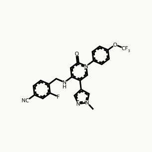 Cn1cc(-c2cn(-c3ccc(OC(F)(F)F)cc3)c(=O)cc2NCc2ccc(C#N)cc2F)cn1